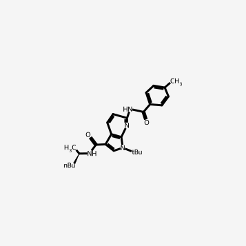 CCCC[C@@H](C)NC(=O)c1cn(C(C)(C)C)c2nc(NC(=O)c3ccc(C)cc3)ccc12